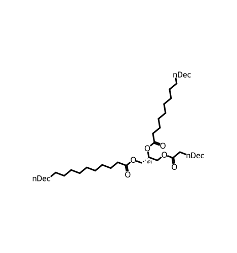 CCCCCCCCCCCCCCCCCCCC(=O)OC[C@@H](COC(=O)CCCCCCCCCCC)OC(=O)CCCCCCCCCCCCCCCCCC